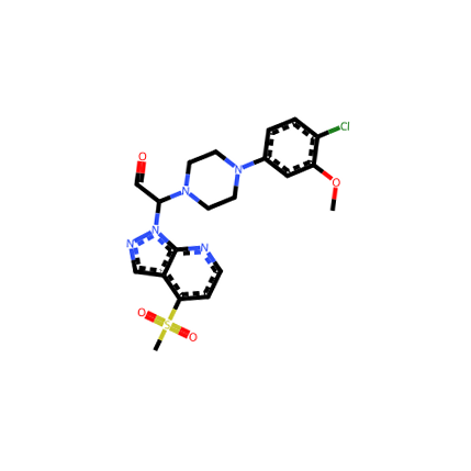 COc1cc(N2CCN(C(C=O)n3ncc4c(S(C)(=O)=O)ccnc43)CC2)ccc1Cl